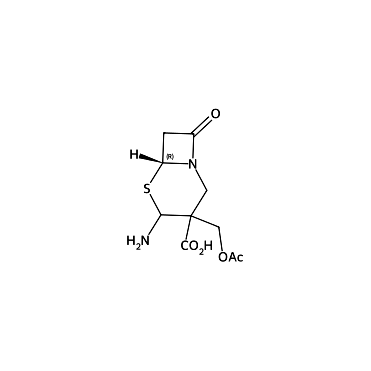 CC(=O)OCC1(C(=O)O)CN2C(=O)C[C@H]2SC1N